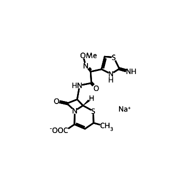 CON=C(C(=O)NC1C(=O)N2C(C(=O)[O-])=CC(C)S[C@@H]12)c1csc(=N)[nH]1.[Na+]